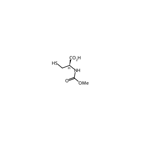 COC(=O)N[C@@H](CS)C(=O)O